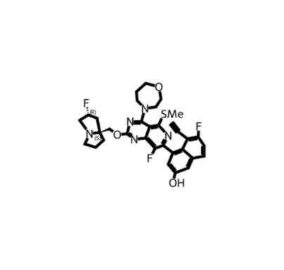 C#Cc1c(F)ccc2cc(O)cc(-c3nc(SC)c4c(N5CCCOCC5)nc(OC[C@@]56CCCN5C[C@H](F)C6)nc4c3F)c12